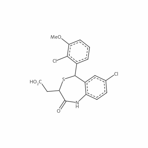 COc1cccc(C2SC(CC(=O)O)C(=O)Nc3ccc(Cl)cc32)c1Cl